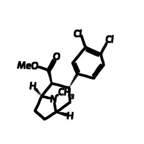 COC(=O)[C@H]1[C@H](c2ccc(Cl)c(Cl)c2)C[C@@H]2CC[C@@H]1N2C